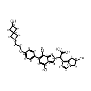 O=C(O)C(c1ncn2c1C[C@@H](F)C2)n1cc2c(Cl)cc(-c3ccc(OCCN4CC5(CC(O)C5)C4)cc3)c(Cl)c2n1